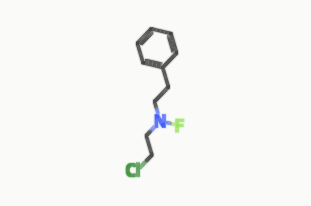 FN(CCCl)CCc1ccccc1